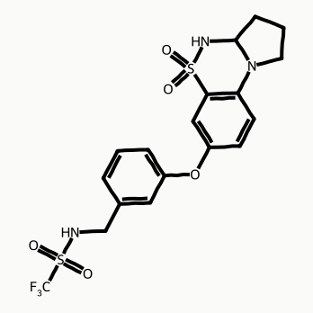 O=S1(=O)NC2CCCN2c2ccc(Oc3cccc(CNS(=O)(=O)C(F)(F)F)c3)cc21